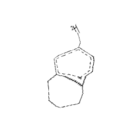 [2H]c1ccc2c(c1)CCCC2